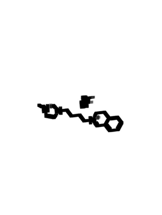 C[n+]1ccn(CCCC[N+]2=Cc3ccccc3CC2)c1.[Br-].[Br-]